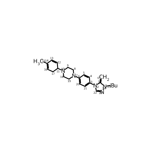 C=C1N(c2ccc(N3CCN(C4C=CC(C)=CC4)CC3)cc2)C=NN1C(C)CC